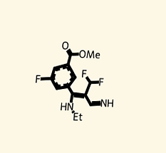 CCN/C(=C(\C=N)C(F)F)c1cc(F)cc(C(=O)OC)c1